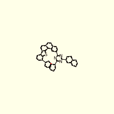 c1ccc(-c2nc(-c3ccc4ccccc4c3)nc(-c3ccc4ccc5ccc6c7cccc(-c8ccccc8)c7sc6c5c4c3)n2)cc1